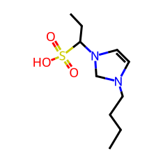 CCCCN1C=CN(C(CC)S(=O)(=O)O)C1